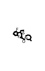 CC1CCCCN(C(=O)C2CC2C2SCCC2c2c(F)cccc2F)C1